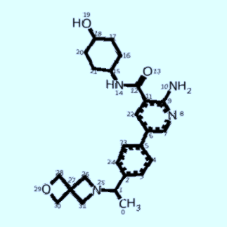 CC(c1ccc(-c2cnc(N)c(C(=O)NC3CCC(O)CC3)c2)cc1)N1CC2(COC2)C1